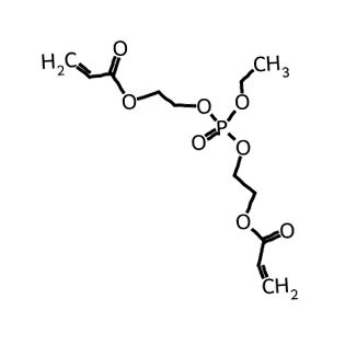 C=CC(=O)OCCOP(=O)(OCC)OCCOC(=O)C=C